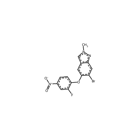 Cn1cc2cc(Oc3ccc([N+](=O)[O-])cc3F)c(Br)cc2n1